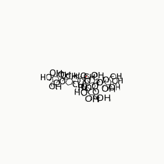 C=C1C[C@@]23CCC4[C@@](C)(CCC[C@@]4(C)C(=O)OC4OC(CO)C(O)C(O)C4O)C2CC(OCC2OC(CO)C(O)C(COC4OC(CO)C(O)C(O)C4O)C2OC2OC(CO)C(O)C(O)C2O)C1C3